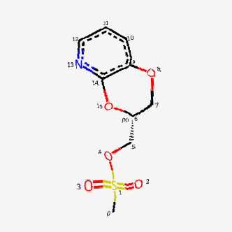 CS(=O)(=O)OC[C@H]1COc2cccnc2O1